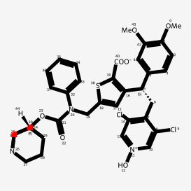 COc1ccc([C@H](Cc2c(Cl)c[n+](O)cc2Cl)c2cc(CN(C(=O)O[C@H]3CN4CCC3CC4)c3ccccc3)sc2C(=O)[O-])cc1OC